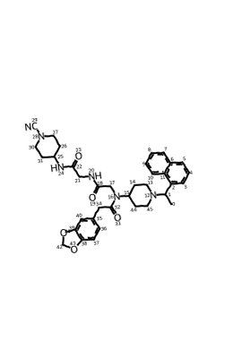 CC(c1cccc2ccccc12)N1CCC(N(CC(=O)NCC(=O)NC2CCN(C#N)CC2)C(=O)Cc2ccc3c(c2)OCO3)CC1